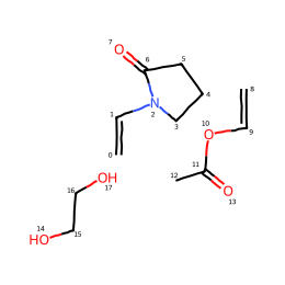 C=CN1CCCC1=O.C=COC(C)=O.OCCO